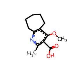 COc1c2c(nc(C)c1C(=O)O)CCCCC2